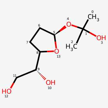 CC(C)(O)O[C@@H]1CCC([C@H](O)CO)O1